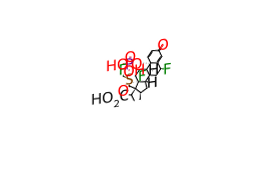 CC(C(=O)O)[C@]1(C(=O)SCF)[C@H](C)C[C@H]2[C@@H]3C[C@H](F)C4=CC(=O)C=C[C@]4(C)[C@@]3(F)[C@@H](OP(=O)(O)O)C[C@@]21C